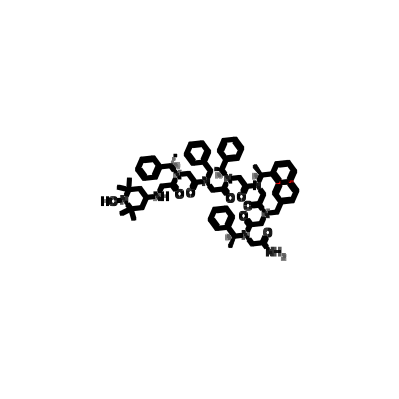 C[C@@H](c1ccccc1)N(CC(N)=O)C(=O)CN(Cc1ccccc1)C(=O)CN(C(=O)CN(C(=O)CN(Cc1ccccc1)C(=O)CN(C(=O)CNC1CC(C)(C)N(O)C(C)(C)C1)[C@@H](C)c1ccccc1)[C@@H](C)c1ccccc1)[C@@H](C)c1ccccc1